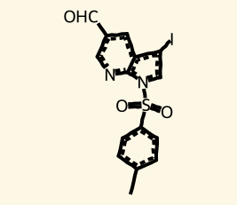 Cc1ccc(S(=O)(=O)n2cc(I)c3cc(C=O)cnc32)cc1